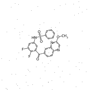 COc1cnc2ccc(C(=O)c3cc(NS(=O)(=O)c4ccccc4)cc(F)c3F)cc2n1